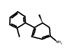 Cc1ccccc1C1=CC=C(N)C[C@@H]1C